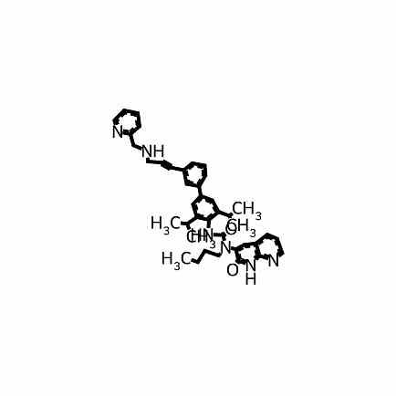 CCCCN(C(=O)Nc1c(C(C)C)cc(-c2cccc(C#CCNCc3ccccn3)c2)cc1C(C)C)c1cc2cccnc2[nH]c1=O